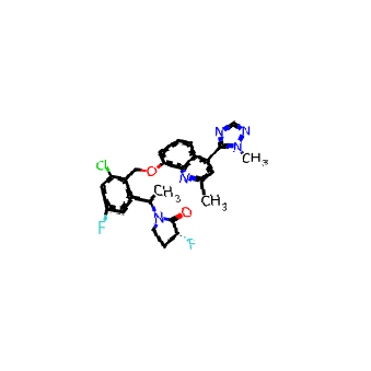 Cc1cc(-c2ncnn2C)c2cccc(OCc3c(Cl)cc(F)cc3C(C)N3CC[C@@H](F)C3=O)c2n1